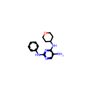 Nc1cnc(Nc2ccccc2)nc1NC1CCOCC1